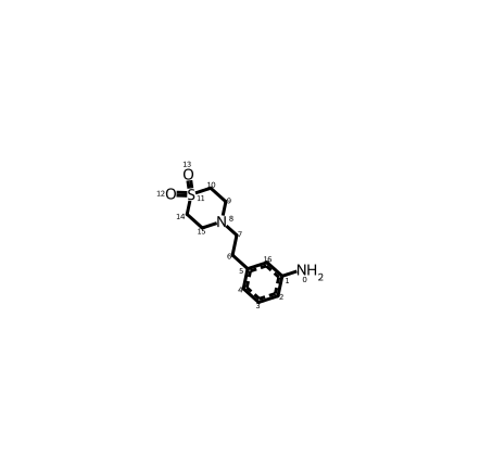 Nc1cccc(CCN2CCS(=O)(=O)CC2)c1